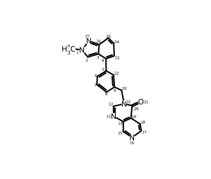 Cn1cc2c(-c3cccc(Cn4cnc5cnccc5c4=O)c3)cccc2n1